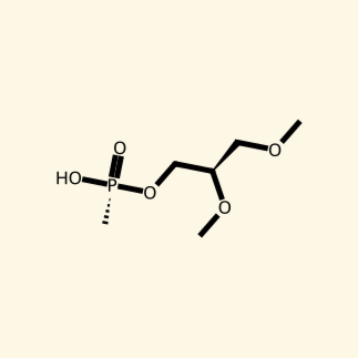 COC[C@H](CO[P@](C)(=O)O)OC